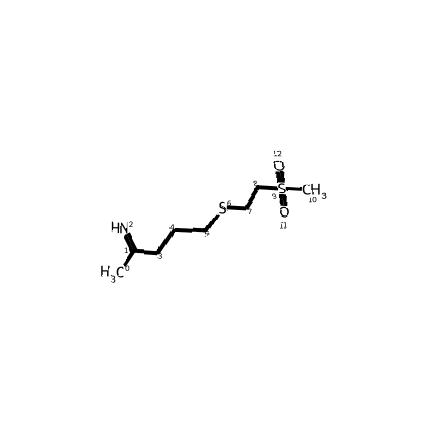 CC(=N)CCCSCCS(C)(=O)=O